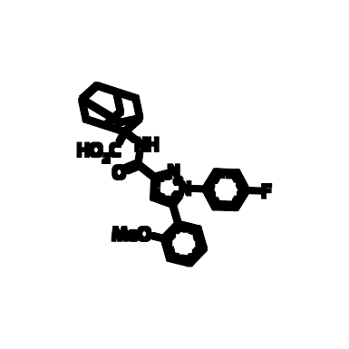 COc1ccccc1-c1cc(C(=O)NC2(C(=O)O)C3CC4CC(C3)CC2C4)nn1-c1ccc(F)cc1